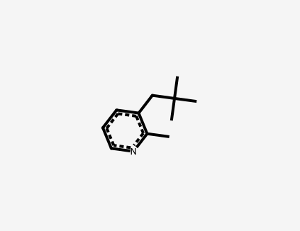 Cc1ncccc1CC(C)(C)C